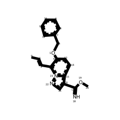 C/C=C/c1c(OCc2ccccc2)ccc2c(C(=N)OC)cnn12